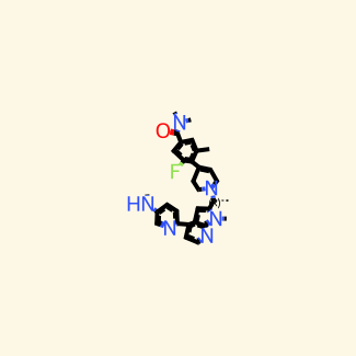 CNc1ccc(-c2ccnc3c2cc([C@@H](C)N2CC=C(c4c(C)cc(C(=O)N(C)C)cc4F)CC2)n3C)nc1